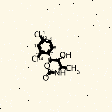 CC1NC(=O)O[C@@H](c2ccc(Cl)cc2Cl)[C@H]1O